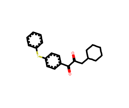 O=C(CC1CCCCC1)C(=O)c1ccc(Sc2ccccc2)cc1